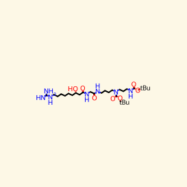 CC(C)(C)OC(=O)NCCCN(CCCCNC(=O)CNC(=O)CC(O)CCCCCCNC(=N)N)C(=O)OC(C)(C)C